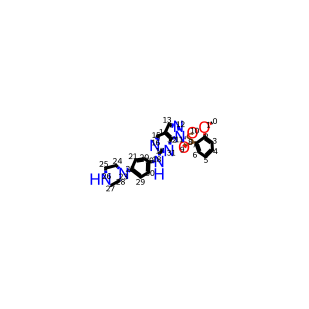 COc1ccccc1S(=O)(=O)n1ncc2cnc(Nc3ccc(N4CCNCC4)cc3)nc21